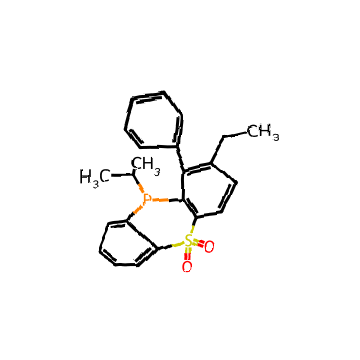 CCc1ccc2c(c1-c1ccccc1)P(C(C)C)c1ccccc1S2(=O)=O